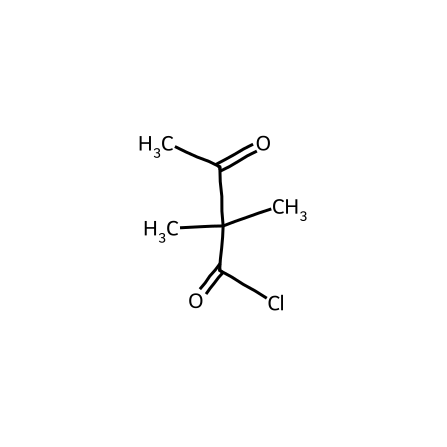 CC(=O)C(C)(C)C(=O)Cl